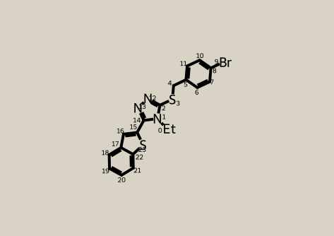 CCn1c(SCc2ccc(Br)cc2)nnc1-c1cc2ccccc2s1